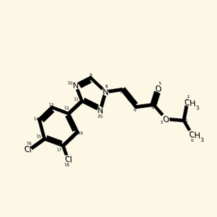 CC(C)OC(=O)C=Cn1cnc(-c2ccc(Cl)c(Cl)c2)n1